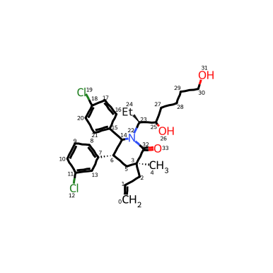 C=CC[C@@]1(C)C[C@H](c2cccc(Cl)c2)C(c2ccc(Cl)cc2)N([C@@H](CC)C(O)CCCCO)C1=O